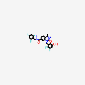 CC1c2ccc(C(=O)NCc3c(F)cc(F)cc3F)cc2N(Cc2cc(O)cc(F)c2F)C(=O)N1C